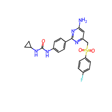 Nc1cc(CS(=O)(=O)c2ccc(F)cc2)nc(-c2ccc(NC(=O)NC3CC3)cc2)n1